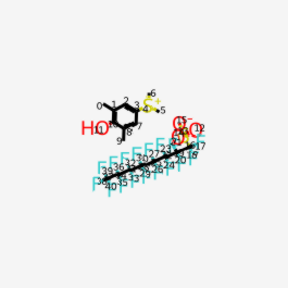 Cc1cc([S+](C)C)cc(C)c1O.O=S(=O)([O-])C(F)(F)C(F)(F)C(F)(F)C(F)(F)C(F)(F)C(F)(F)C(F)(F)C(F)(F)F